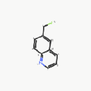 FCc1ccc2ncccc2c1